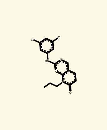 CCCn1c(=O)ccc2cnc(Nc3cc(Cl)cc(Cl)c3)nc21